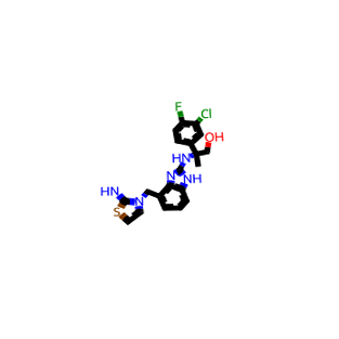 CC(CO)(Nc1nc2c(Cn3ccsc3=N)cccc2[nH]1)c1ccc(F)c(Cl)c1